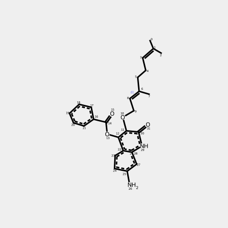 CC(C)=CCC/C(C)=C/COc1c(OC(=O)c2ccccc2)c2ccc(N)cc2[nH]c1=O